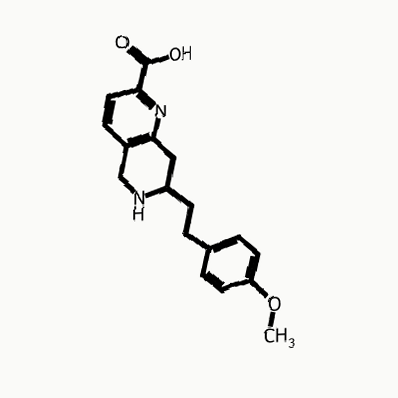 COc1ccc(CCC2Cc3nc(C(=O)O)ccc3CN2)cc1